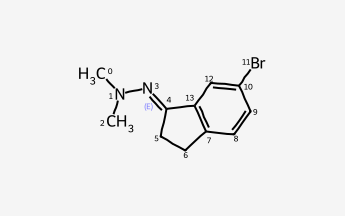 CN(C)/N=C1\CCc2ccc(Br)cc21